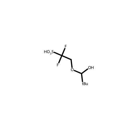 CC(C)(C)C(O)OCC(F)(F)S(=O)(=O)O